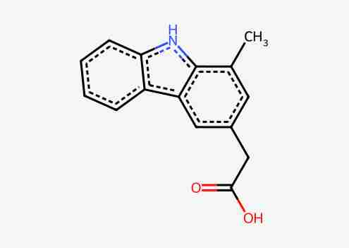 Cc1cc(CC(=O)O)cc2c1[nH]c1ccccc12